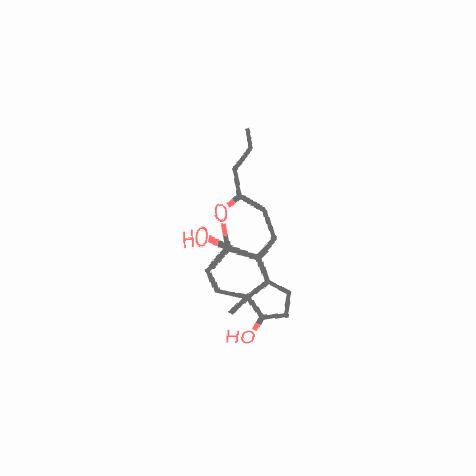 CCCC1CCC2C3CCC(O)C3(C)CCC2(O)O1